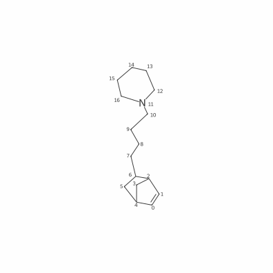 C1=CC2CC1CC2CCCCN1CCCCC1